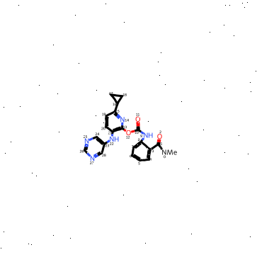 CNC(=O)c1ccccc1NC(=O)Oc1nc(C2CC2)ccc1Nc1cncnc1